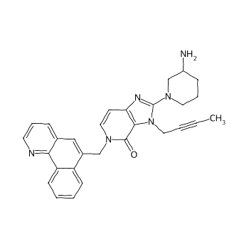 CC#CCn1c(N2CCCC(N)C2)nc2ccn(Cc3cc4cccnc4c4ccccc34)c(=O)c21